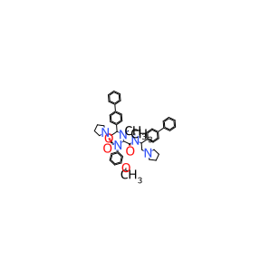 COc1ccc2oc(=O)n(C(C(=O)N(C)C(CN3CCCC3)c3ccc(-c4ccccc4)cc3)N(C)C(CN3CCCC3)c3ccc(-c4ccccc4)cc3)c2c1